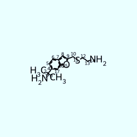 CC(C)(N)c1ccc2cc(CSCCN)oc2c1